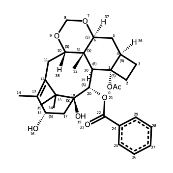 CC(=O)O[C@@]12CC[C@@H]1C[C@@H]1OCO[C@H]3CC4=C(C)[C@@H](O)C[C@@](O)([C@@H](OC(=O)c5ccccc5)[C@H]2[C@]31C)C4(C)C